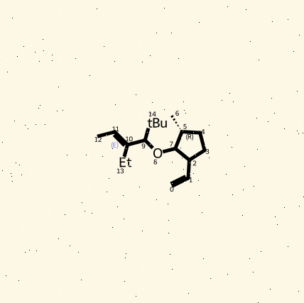 C=CC1CC[C@@H](C)C1OC(/C(=C/C)CC)C(C)(C)C